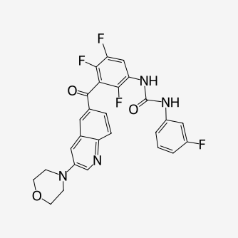 O=C(Nc1cccc(F)c1)Nc1cc(F)c(F)c(C(=O)c2ccc3ncc(N4CCOCC4)cc3c2)c1F